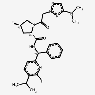 CC(C)c1ccc([C@@H](NC(=O)[C@@H]2C[C@@H](F)CN2C(=O)Cn2ncc(N(C)C)n2)c2ccccc2)nc1F